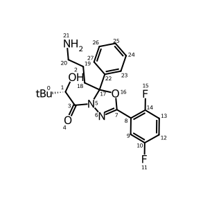 CC(C)(C)[C@H](O)C(=O)N1N=C(c2cc(F)ccc2F)OC1(CCCN)c1ccccc1